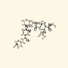 CCC(CC)Nc1cc(C(=O)NC2CC3CCCN(c4ccc(C(=O)CCC5CCN(C)CC5)cn4)C3C2)c(C)cc1C(N)=O